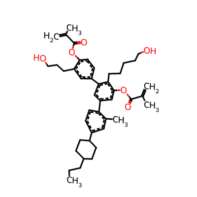 C=C(C)C(=O)Oc1ccc(-c2cc(-c3ccc(C4CCC(CCC)CC4)cc3C)cc(OC(=O)C(=C)C)c2CCCCCO)cc1CCCO